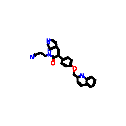 N#CCCNC(=O)C(=Cc1ccncc1)c1ccc(OCc2ccc3ccccc3n2)cc1